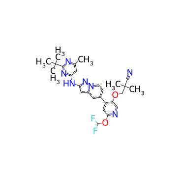 Cc1cc(Nc2cc3cc(-c4cc(OC(F)F)ncc4OCC(C)(C)C#N)ccn3n2)nc(C(C)(C)C)n1